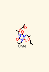 C=CCOC(C)Cn1c(=O)n(CC(C)OC)c(=O)n(CC(C)OCC2CO2)c1=O